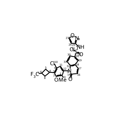 COc1cc(C2CC(C(F)(F)F)C2)c(Cl)cc1-n1c(=O)ccc2cc(S(=O)(=O)Nc3ccon3)ccc21